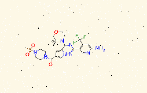 C[C@H]1COCCN1c1nc(-c2cnc(N)cc2C(F)(F)F)nn2cc(C(=O)N3CCN(S(C)(=O)=O)CC3)cc12